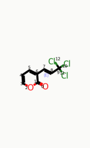 O=c1occcc1/C=C/C(Cl)(Cl)Cl